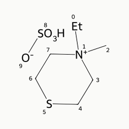 CC[N+]1(C)CCSCC1.O=S(=O)([O-])O